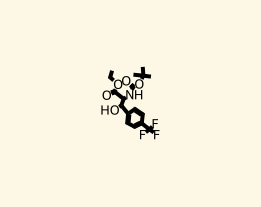 CCOC(=O)C(NC(=O)OC(C)(C)C)C(O)c1ccc(C(F)(F)F)cc1